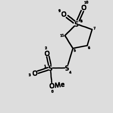 COS(=O)(=O)SC1CCS(=O)(=O)C1